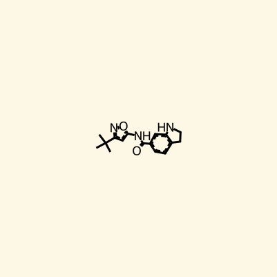 CC(C)(C)c1cc(NC(=O)c2ccc3c(c2)NCC3)on1